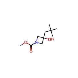 COC(=O)N1CC(O)(CC(C)(C)C)C1